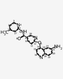 Cc1ccnc(NC(=O)c2ccc(Oc3ccnc4ccc(N)cc34)nc2)c1